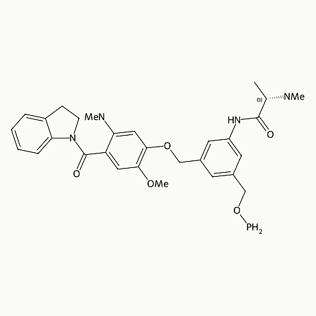 CNc1cc(OCc2cc(COP)cc(NC(=O)[C@H](C)NC)c2)c(OC)cc1C(=O)N1CCc2ccccc21